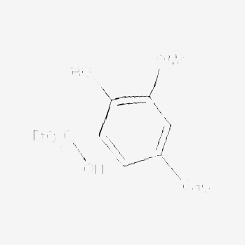 CCOC(=O)O.COc1cc(C=O)ccc1O